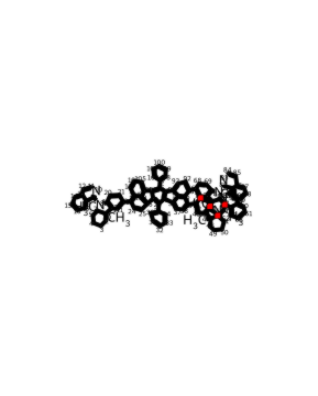 CC12CCCCC1(C)N(c1nccc3ccccc13)c1ccc(-c3ccc4c5c(-c6ccccc6)c6c7ccc(-c8ccc9c(c8)C8(C)CCCCC8(C)N9c8nccc9ccccc89)c8c(-c9ccc%10c(c9)C9(C)CCCCC9(C)N%10c9nccc%10ccccc9%10)ccc(c6c(-c6ccccc6)c5c5cccc3c54)c87)cc12